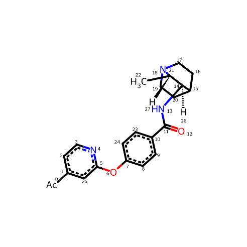 CC(=O)c1ccnc(Oc2ccc(C(=O)N[C@@H]3C4CCN(CC4)[C@H]3C)cc2)c1